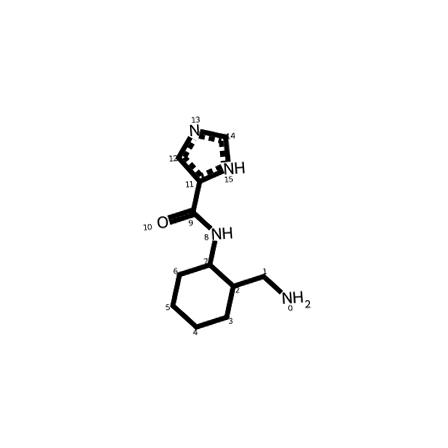 NCC1CCCCC1NC(=O)c1cnc[nH]1